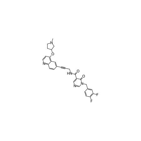 CN1CCC(Oc2ccnc3ccc(C#CCNC(=O)c4cncn(Cc5ccc(F)c(F)c5)c4=O)cc23)C1